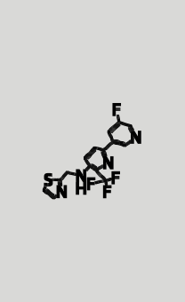 Fc1cncc(-c2ccc(NCc3nccs3)c(C(F)(F)F)n2)c1